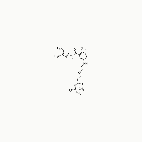 Cc1ccc(NCCOCCC(=O)OC(C)(C)C)cc1C(=O)Nc1nc(C)c(C)s1